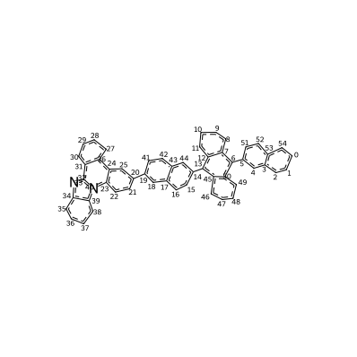 c1ccc2cc(-c3c4ccccc4c(-c4ccc5cc(-c6ccc7c(c6)c6ccccc6c6nc8ccccc8n76)ccc5c4)c4ccccc34)ccc2c1